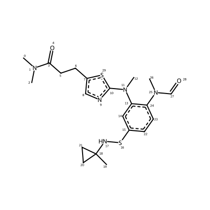 CN(C)C(=O)CCc1cnc(N(C)c2cc(SNC3(C)CC3)ccc2N(C)C=O)s1